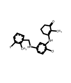 CC1=C(Nc2cc(NCc3cccc(F)c3C)ccc2Cl)CCCC1=O